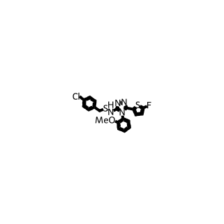 COc1ccccc1-n1c(NSCc2ccc(Cl)cc2)nnc1-c1ccc(F)s1